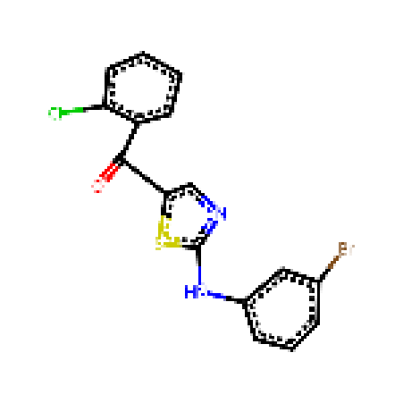 O=C(c1cnc(Nc2cccc(Br)c2)s1)c1ccccc1Cl